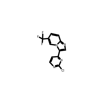 FC(F)(F)c1ccc2ncc(-c3ccnc(Cl)n3)n2c1